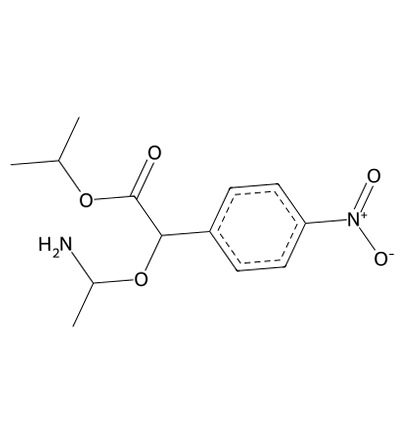 CC(C)OC(=O)C(OC(C)N)c1ccc([N+](=O)[O-])cc1